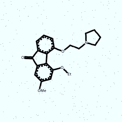 CCOc1cc(OC)cc2c1-c1c(OCCN3CCCC3)cccc1C2=O